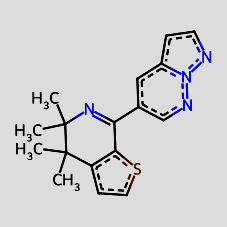 CC1(C)N=C(c2cnn3nccc3c2)c2sccc2C1(C)C